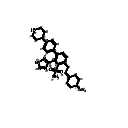 NC1CCC(CCc2ccc(-c3ccc(C4CCNCC4)cc3)c(-c3nn[nH]n3)c2S(N)(=O)=O)CC1